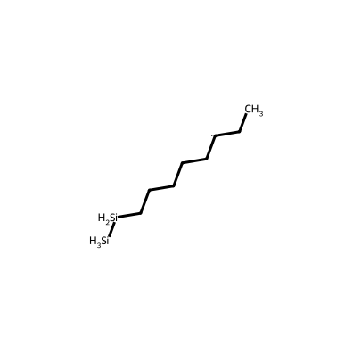 CC[CH]CCCCC[SiH2][SiH3]